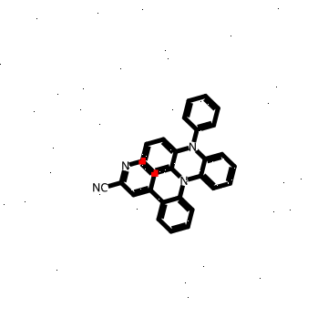 N#Cc1cc(-c2ccccc2N2c3ccccc3N(c3ccccc3)c3ccccc32)ccn1